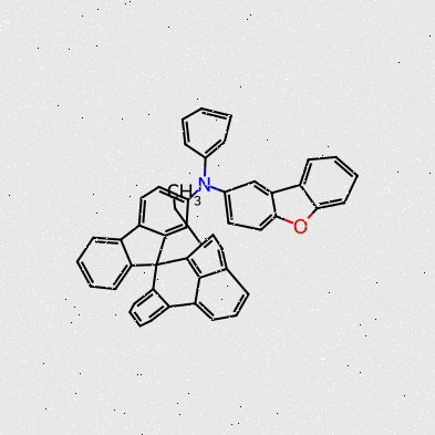 CCc1ccc2cccc3c2c1C1(c2ccccc2-c2ccc(N(c4ccccc4)c4ccc5oc6ccccc6c5c4)cc21)c1ccccc1-3